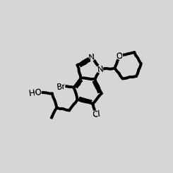 CC(CO)Cc1c(Cl)cc2c(cnn2C2CCCCO2)c1Br